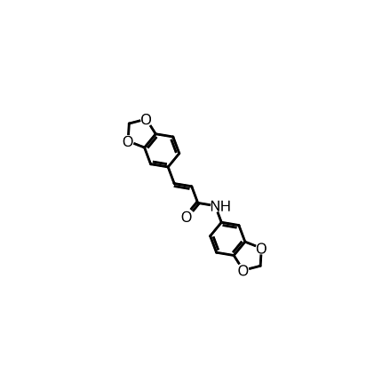 O=C(/C=C/c1ccc2c(c1)OCO2)Nc1ccc2c(c1)OCO2